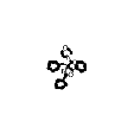 O=C(N1CCOCC1)[C@@]1(Cc2ccccc2)N=C(c2ccccc2)O[C@H]1c1ccccc1